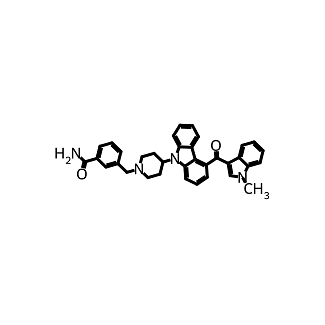 Cn1cc(C(=O)c2cccc3c2c2ccccc2n3C2CCN(Cc3cccc(C(N)=O)c3)CC2)c2ccccc21